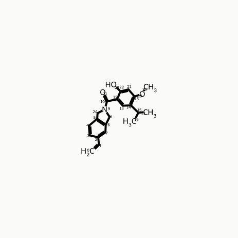 C=Cc1ccc2c(c1)CN(C(=O)c1cc(C(C)C)c(OC)cc1O)C2